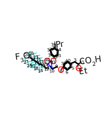 CCOC(Cc1ccc(OCCN(CC(F)(F)C(F)(F)C(F)(F)C(F)(F)C(F)(F)C(F)(F)F)C(=O)Oc2ccc(C(C)C)cc2)cc1)C(=O)O